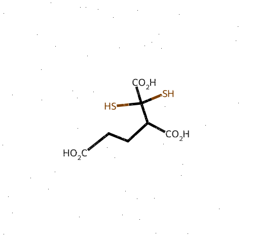 O=C(O)CCC(C(=O)O)C(S)(S)C(=O)O